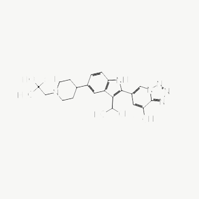 Cc1cc(-c2[nH]c3ccc(C4CCN(CC(C)(C)O)CC4)cc3c2C(C)C)cn2nnnc12